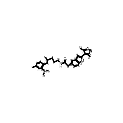 Cc1ccc(CC(C)CCCNC(=O)Cc2ccc3oc(-c4c(C)noc4C)cc3c2)c(N(C)C)c1